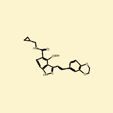 COc1c(C(=O)NCC2CC2)ccc2[nH]nc(C=Cc3ccc4c(c3)OCCO4)c12